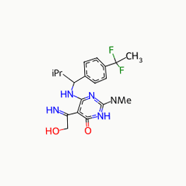 CNc1nc(NC(c2ccc(C(C)(F)F)cc2)C(C)C)c(C(=N)CO)c(=O)[nH]1